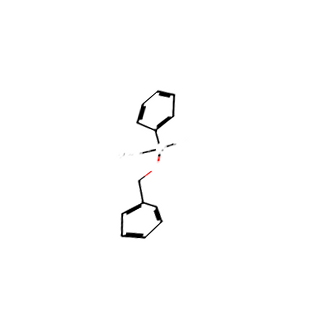 CCC[Si](OC)(OCc1ccccc1)c1ccccc1